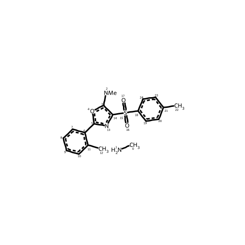 CN.CNc1oc(-c2ccccc2C)nc1S(=O)(=O)c1ccc(C)cc1